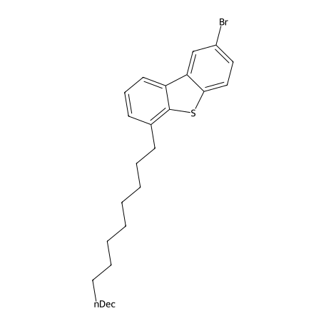 CCCCCCCCCCCCCCCCCCc1cccc2c1sc1ccc(Br)cc12